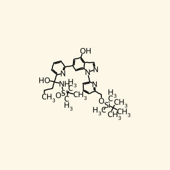 CCCC(O)(N[S+]([O-])C(C)(C)C)c1cccc(-c2cc(O)c3cnn(-c4cccc(CO[Si](C)(C)C(C)(C)C)n4)c3c2)n1